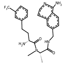 C[C@@H](C(=O)NCc1ccc2c(N)nccc2c1)N(C)C(=O)[C@H](N)CCc1cccc(C(F)(F)F)c1